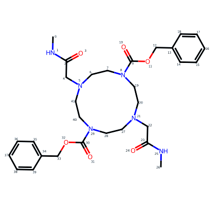 CNC(=O)CN1CCN(C(=O)OCc2ccccc2)CCN(CC(=O)NC)CCN(C(=O)OCc2ccccc2)CC1